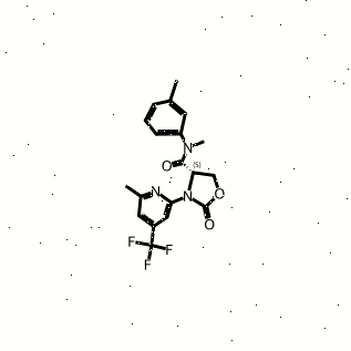 Cc1cccc(N(C)C(=O)[C@@H]2COC(=O)N2c2cc(C(F)(F)F)cc(C)n2)c1